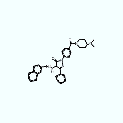 CN(C)C1CCN(C(=O)c2ccc(N3N=C(c4ccccc4)C(NNc4ccc5ccccc5c4)C3=O)cc2)CC1